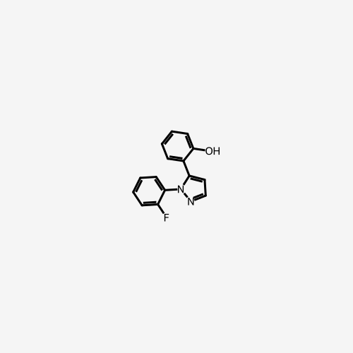 Oc1ccccc1-c1ccnn1-c1ccccc1F